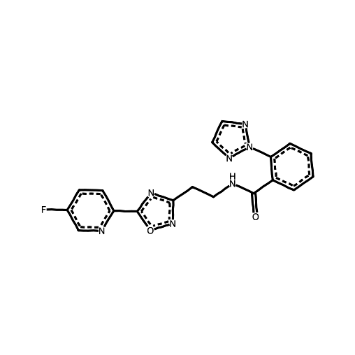 O=C(NCCc1noc(-c2ccc(F)cn2)n1)c1ccccc1-n1nccn1